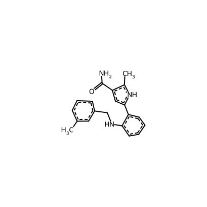 Cc1cccc(CNc2ccccc2-c2cc(C(N)=O)c(C)[nH]2)c1